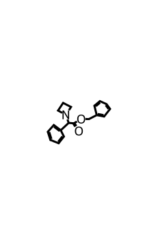 O=C(OCc1ccccc1)C(c1ccccc1)N1CCC1